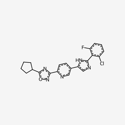 Fc1cccc(Cl)c1-c1ncc(-c2ccc(-c3noc(C4CCCC4)n3)nc2)[nH]1